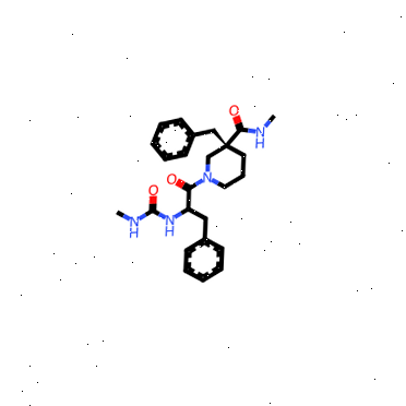 CNC(=O)NC(Cc1ccccc1)C(=O)N1CCC[C@@](Cc2ccccc2)(C(=O)NC)C1